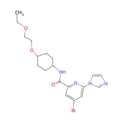 CCOCCOC1CCC(NC(=O)c2cc(Br)cc(-n3ccnc3)n2)CC1